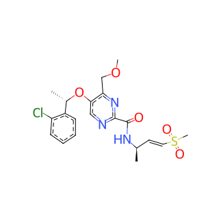 COCc1nc(C(=O)N[C@H](C)/C=C/S(C)(=O)=O)ncc1O[C@@H](C)c1ccccc1Cl